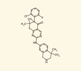 CC1(C)CNCc2cc(Nc3ncc4c(n3)SC(C)(C)N(c3c(F)cccc3Cl)C4=O)ccc21